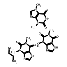 Cn1c(=O)c2[nH]cnc2n(C)c1=O.Cn1c(=O)c2[nH]cnc2n(C)c1=O.Cn1cnc2c1c(=O)[nH]c(=O)n2C.NCCN